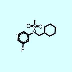 CS(=O)(=O)N(CC1CCCCC1)c1c[c]cc(F)c1